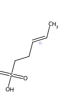 C/C=C/CCS(=O)(=O)O